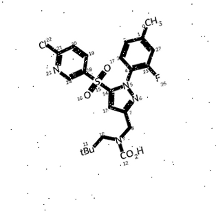 Cc1ccc(-n2nc(CN(CC(C)(C)C)C(=O)O)cc2S(=O)(=O)c2ccc(Cl)nc2)c(F)c1